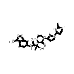 Cc1nccc(-n2ccc(N3CCO[C@H](C(C)(O)C(=O)Nc4ccc5c(N)noc5c4)C3=O)n2)n1